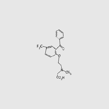 CN(CCOc1ccc(C(F)(F)F)cc1C(=O)c1ccccc1)CC(=O)O